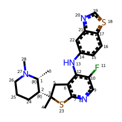 C[C@@H]1[C@H](C2(C)Cc3c(ncc(F)c3Nc3ccc4scnc4c3)S2)CCCN1C